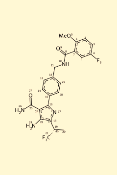 COc1ccc(F)cc1C(=O)NCc1ccc(-c2nn([C@H](C)C(F)(F)F)c(N)c2C(N)=O)cc1